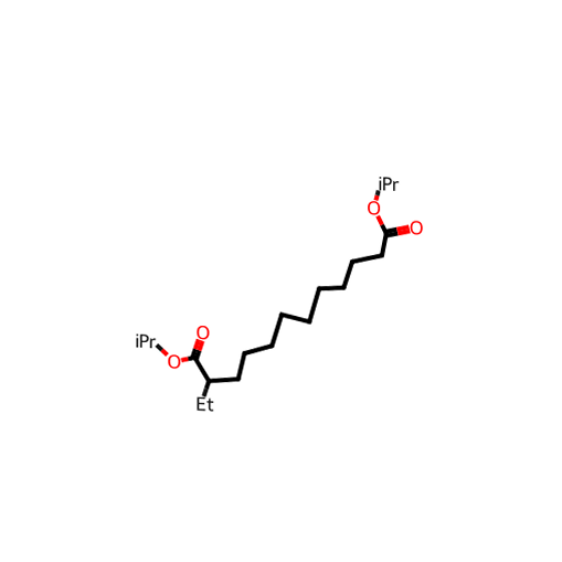 CCC(CCCCCCCCCC(=O)OC(C)C)C(=O)OC(C)C